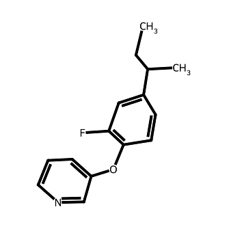 CCC(C)c1ccc(Oc2cccnc2)c(F)c1